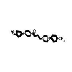 O=C(CCCN1CCN(C2=CC[C@H](C(F)(F)F)C=C2)CC1)N1CCN(c2ccc(SC(F)(F)F)cc2)CC1